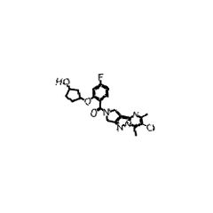 Cc1nc2c3c(nn2c(C)c1Cl)CN(C(=O)c1ccc(F)cc1OC1CCC(O)C1)C3